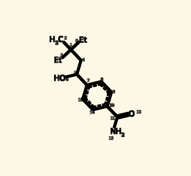 CCC(C)(CC)CC(O)c1ccc(C(N)=O)cc1